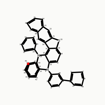 c1ccc(-c2cccc(N(c3ccccc3)c3ccc4sc5cc6ccccc6cc5c4c3N(c3ccccc3)c3ccccc3)c2)cc1